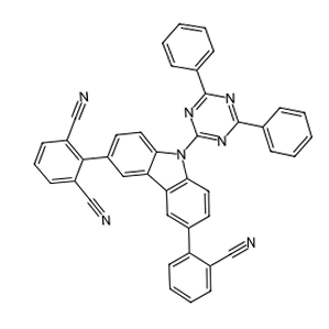 N#Cc1ccccc1-c1ccc2c(c1)c1cc(-c3c(C#N)cccc3C#N)ccc1n2-c1nc(-c2ccccc2)nc(-c2ccccc2)n1